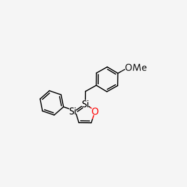 COc1ccc(C[si]2occ[si]2-c2ccccc2)cc1